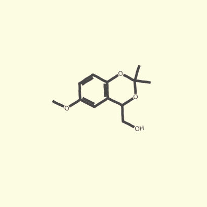 COc1ccc2c(c1)C(CO)OC(C)(C)O2